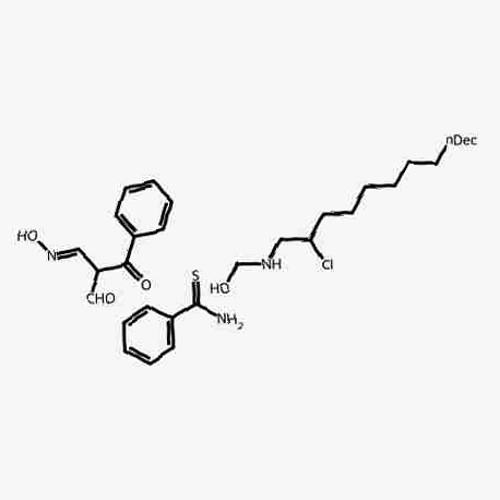 CCCCCCCCCCCCCCCCC(Cl)CNCO.NC(=S)c1ccccc1.O=CC(C=NO)C(=O)c1ccccc1